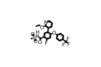 CCOc1ncccc1-c1cc(C(=O)NS(C)(=O)=O)c(F)cc1Oc1ccc(C(F)(F)F)cc1